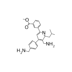 COC(=O)c1cccc(-c2cc(-c3ccc(CN)cc3)c(CN)c(CC(C)C)n2)c1